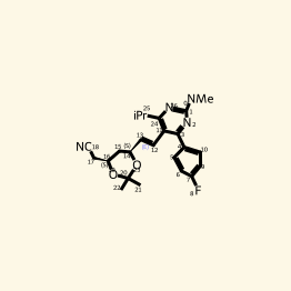 CNc1nc(-c2ccc(F)cc2)c(/C=C/[C@@H]2C[C@H](CC#N)OC(C)(C)O2)c(C(C)C)n1